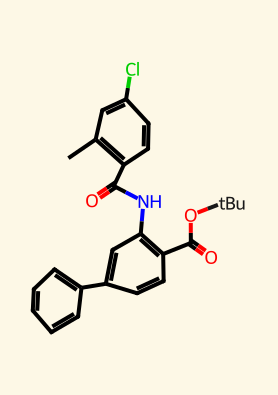 Cc1cc(Cl)ccc1C(=O)Nc1cc(-c2ccccc2)ccc1C(=O)OC(C)(C)C